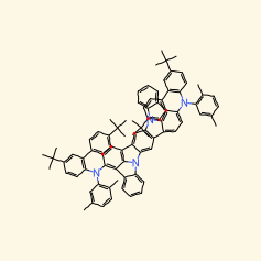 Cc1ccc(C)c(N(c2ccc(C(C)(C)C)cc2-c2ccc(C(C)(C)C)cc2)c2ccc3c4cc5c(cc4n4c6ccccc6c2c34)c2ccc(N(c3cc(C)ccc3C)c3ccc(C(C)(C)C)cc3-c3ccc(C(C)(C)C)cc3)c3c4ccccc4n5c23)c1